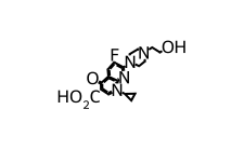 O=C(O)c1cn(C2CC2)c2nc(N3CCN(CCO)CC3)c(F)cc2c1=O